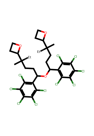 CCC(C)(CCC(OC(CCC(C)(CC)C1CCO1)c1c(Cl)c(Cl)c(Cl)c(Cl)c1Cl)c1c(Cl)c(Cl)c(Cl)c(Cl)c1Cl)C1CCO1